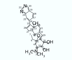 CN(C)[C@H]1C[C@@]23CC[C@@]4(O2)C(=CC[C@]2(C)C(c5ccc6cncnc6c5)=CCC24)C=C3[C@@H](O)[C@@H]1O